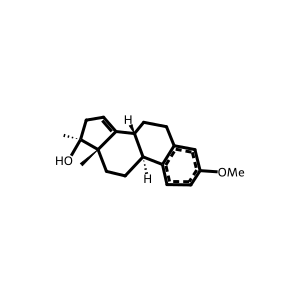 COc1ccc2c(c1)CC[C@H]1C3=CC[C@](C)(O)[C@@]3(C)CC[C@H]21